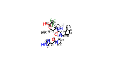 CSCCC(NC(=O)CN(Cc1cccc(C#N)c1)C[C@@H]1CCCN1C(=O)Cc1c[nH]cn1)C(=O)O.O=C(O)C(F)(F)F